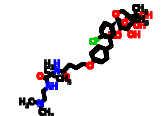 CN(C)CCNC(=O)C(C)(C)NC(=O)CCCOc1ccc(Cc2cc([C@]34OC[C@](C(C)(C)O)(O3)[C@@H](O)[C@H](O)[C@H]4O)ccc2Cl)cc1